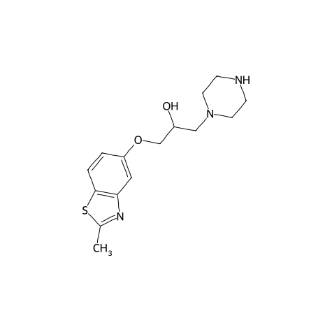 Cc1nc2cc(OCC(O)CN3CCNCC3)ccc2s1